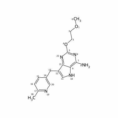 COCCOc1nc(N)c2[nH]cc(Cc3ccc(C)nc3)c2n1